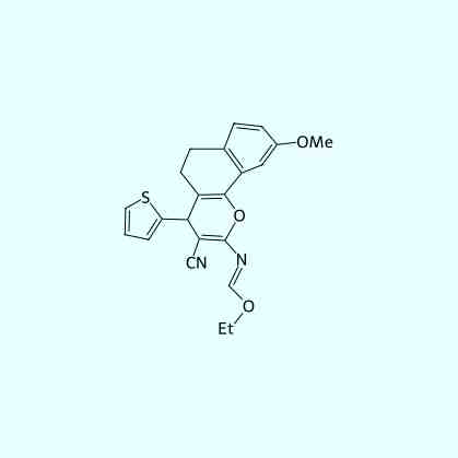 CCOC=NC1=C(C#N)C(c2cccs2)C2=C(O1)c1cc(OC)ccc1CC2